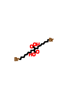 O=C(O)/C(CCCCCCCCBr)=C(\CCCCCCCCBr)C(=O)O